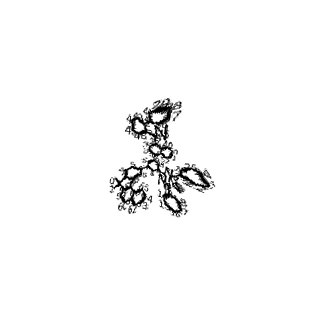 CC1(C)c2ccc(-c3cc(-c4nc(-c5ccccc5)nc(-c5ccccc5)n4)cc(-c4ccc(-c5nc6ccccc6c6ccccc56)c5ccccc45)c3)cc2-c2c1ccc1ccccc21